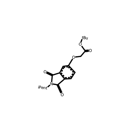 CCCC(C)N1C(=O)c2ccc(OCC(=O)OC(C)(C)C)cc2C1=O